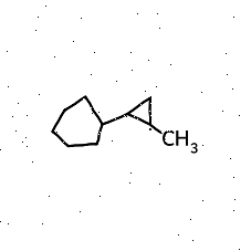 C[C]1CC1C1CCCCC1